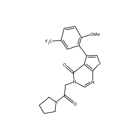 COc1ccc(C(F)(F)F)cc1-c1csc2ncn(CC(=O)N3CCCC3)c(=O)c12